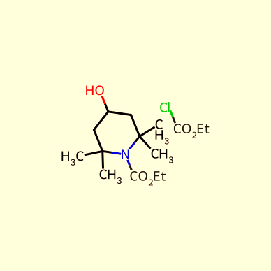 CCOC(=O)Cl.CCOC(=O)N1C(C)(C)CC(O)CC1(C)C